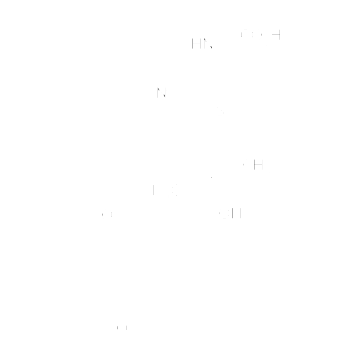 CC(C)(O)c1sc(NC(=O)O)nc1CCOC1CCOCC1